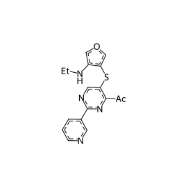 CCNc1cocc1Sc1cnc(-c2cccnc2)nc1C(C)=O